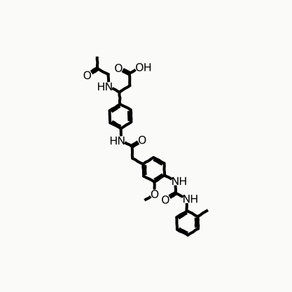 COc1cc(CC(=O)Nc2ccc(C(CC(=O)O)NCC(C)=O)cc2)ccc1NC(=O)Nc1ccccc1C